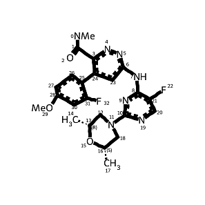 CNC(=O)c1nnc(Nc2nc(N3C[C@@H](C)O[C@@H](C)C3)ncc2F)cc1-c1ccc(OC)cc1F